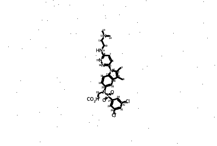 Cc1c(C)n(-c2ccc(NCCN(C)C)nn2)c2ccc(N(CC(=O)O)S(=O)(=O)c3cc(Cl)cc(Cl)c3)cc12